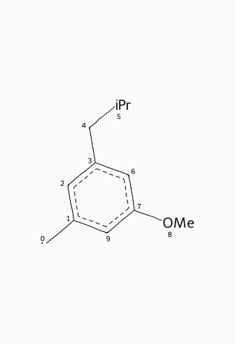 [CH2]c1cc(CC(C)C)cc(OC)c1